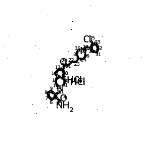 Cl.Cl.NC(=O)c1ccccc1CN1CCc2ccc(C(=O)CCCC3CCN(Cc4ccccc4Cl)CC3)cc2CC1